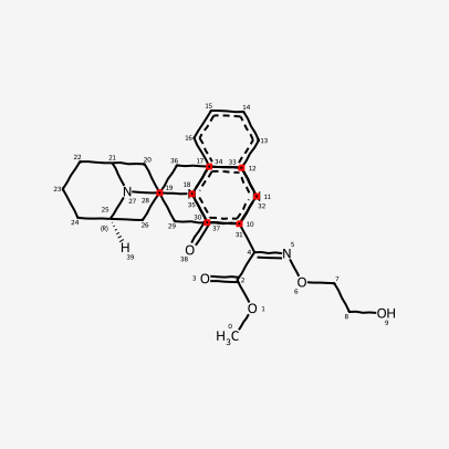 COC(=O)C(=NOCCO)c1nc2ccccc2n(C2CC3CCC[C@H](C2)N3C2CC3CCCC(C3)C2)c1=O